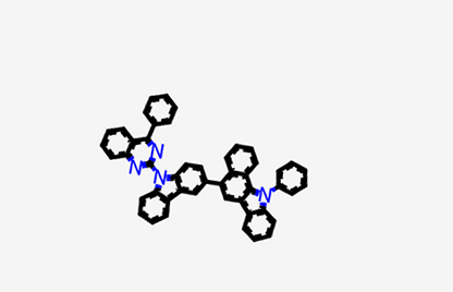 c1ccc(-c2nc(-n3c4ccccc4c4cc(-c5cc6c7ccccc7n(-c7ccccc7)c6c6ccccc56)ccc43)nc3ccccc23)cc1